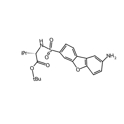 CC(C)[C@H](NS(=O)(=O)c1ccc2c(c1)oc1ccc(N)cc12)C(=O)OC(C)(C)C